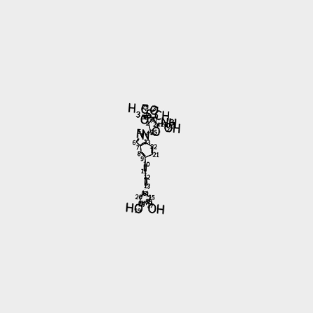 C[C@@](CCn1ncc2cc(C#CC#C[C@@H]3C[C@@H](O)[C@@H](O)C3)ccc21)(C(=O)NO)S(C)(=O)=O